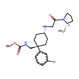 CC(C)(C)OC(=O)NC[C@]1(c2cccc(Cl)c2)CC[C@@H](NCC(=O)N2CCC[C@@H]2C(=O)O)CC1